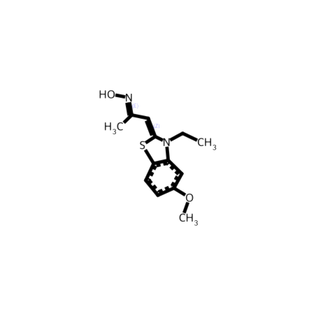 CCN1/C(=C/C(C)=N/O)Sc2ccc(OC)cc21